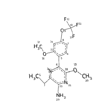 CCc1nc(-c2ccc(OC(F)(F)F)cc2OC)c(OC)nc1N